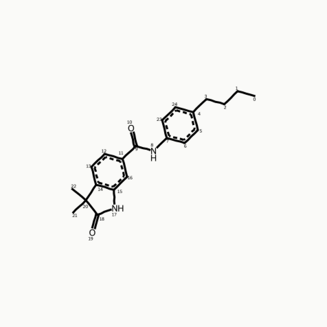 CCCCc1ccc(NC(=O)c2ccc3c(c2)NC(=O)C3(C)C)cc1